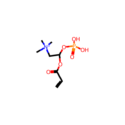 C=CC(=O)OC(C[N+](C)(C)C)OP(=O)(O)O